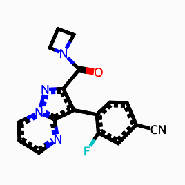 N#Cc1ccc(-c2c(C(=O)N3CCC3)nn3cccnc23)c(F)c1